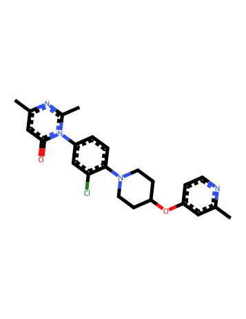 Cc1cc(OC2CCN(c3ccc(-n4c(C)nc(C)cc4=O)cc3Cl)CC2)ccn1